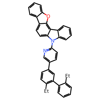 CCc1ccccc1-c1cc(-c2ccc(-n3c4ccccc4c4c5oc6ccccc6c5ccc43)nc2)ccc1CC